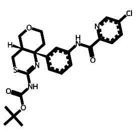 CC(C)(C)OC(=O)NC1=N[C@@]2(c3cccc(NC(=O)c4ccc(Cl)cn4)c3)CCOC[C@H]2CS1